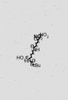 CC(C)(C)OC(=O)NC(CCCCNC(=O)CCCC(CO[N+](=O)[O-])O[N+](=O)[O-])C(=O)O